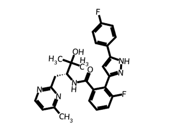 Cc1ccnc(C[C@@H](NC(=O)c2cccc(F)c2-c2cc(-c3ccc(F)cc3)[nH]n2)C(C)(C)O)n1